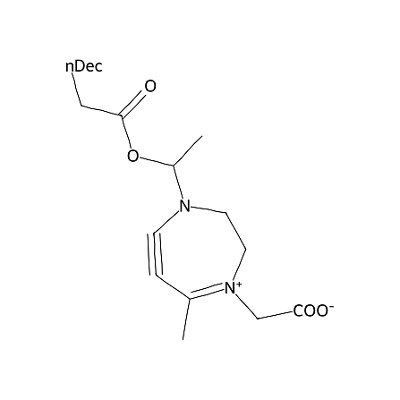 CCCCCCCCCCCC(=O)OC(C)N1C#CC(C)=[N+](CC(=O)[O-])CC1